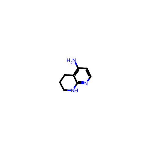 Nc1ccnc2c1CCCN2